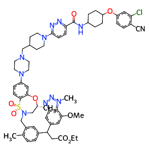 CCOC(=O)CC(c1ccc(C)c(CN2C[C@@H](C)Oc3cc(N4CCN(CC5CCN(c6ccc(C(=O)NC7CCC(Oc8ccc(C#N)c(Cl)c8)CC7)nn6)CC5)CC4)ccc3S2(=O)=O)c1)c1cc(OC)c2c(c1)nnn2C